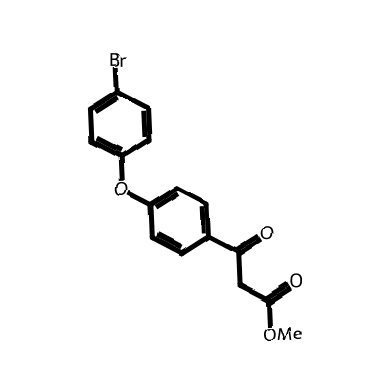 COC(=O)CC(=O)c1ccc(Oc2ccc(Br)cc2)cc1